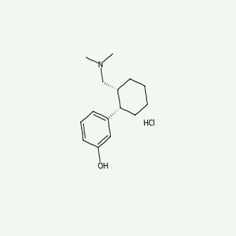 CN(C)C[C@@H]1CCCC[C@@H]1c1cccc(O)c1.Cl